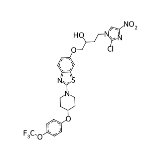 O=[N+]([O-])c1cn(CCC(O)COc2ccc3nc(N4CCC(Oc5ccc(OC(F)(F)F)cc5)CC4)sc3c2)c(Cl)n1